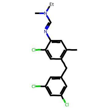 CCN(C)C=Nc1cc(C)c(Cc2cc(Cl)cc(Cl)c2)cc1Cl